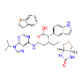 CC(C)n1cnc2c(NCCC(CC[C@@H]3SC[C@@H]4NC(=O)N[C@@H]43)C(C(=O)O)c3ccc4[nH]ccc4c3)nc(-c3csc4ccccc34)nc21